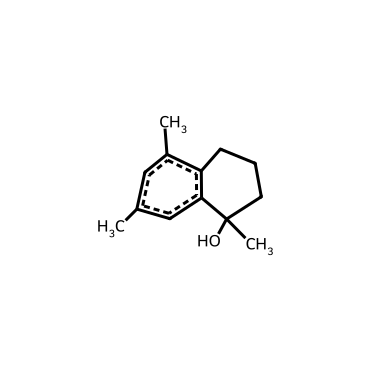 Cc1cc(C)c2c(c1)C(C)(O)CCC2